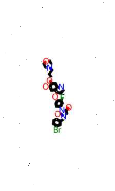 COc1cc2c(Oc3ccc(N4C(=O)CN(Cc5cccc(Br)c5)C4=O)cc3F)ccnc2cc1OCCCN1CCOCC1